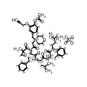 C#CCOc1cc(C[N+]2(CC(=O)N(C(=O)[C@@]3(C)CO3)[C@@H](CCc3ccccc3)C(=O)N[C@@H](CC(C)C)C(=O)N[C@@H](Cc3ccccc3)C(=O)NCCC(C)C)CCOCC2)ccc1OC(C)=O.CS(=O)(=O)[O-]